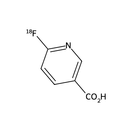 O=C(O)c1ccc([18F])nc1